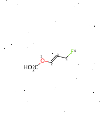 O=C(O)OC=CCF